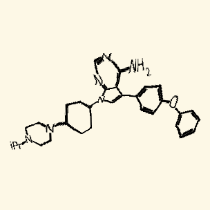 CC(C)N1CCN(C2CCC(n3cc(-c4ccc(Oc5ccccc5)cc4)c4c(N)ncnc43)CC2)CC1